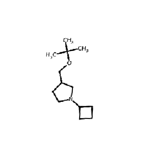 CC(C)(C)OCC1CCN(C2CCC2)C1